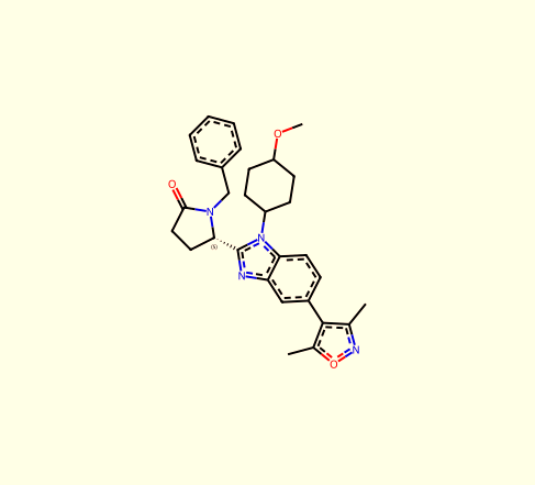 COC1CCC(n2c([C@@H]3CCC(=O)N3Cc3ccccc3)nc3cc(-c4c(C)noc4C)ccc32)CC1